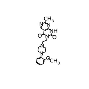 COc1ccccc1N1CCN(CCn2c(=O)[nH]c3nc(C)ncc3c2=O)CC1